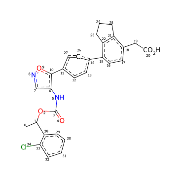 CC(OC(=O)Nc1cnoc1-c1ccc(-c2ccc(CC(=O)O)c3c2CCC3)cc1)c1ccccc1Cl